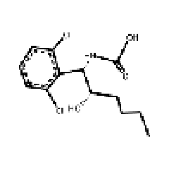 CCCC[C@H](O)[C@@H](NC(=O)O)c1c(Cl)cccc1Cl